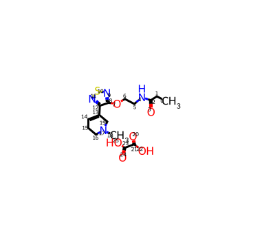 CCC(=O)NCCOc1nsnc1C1=CCCN(C)C1.O=C(O)C(=O)O